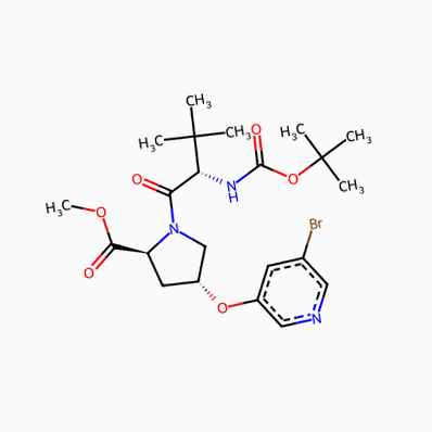 COC(=O)[C@@H]1C[C@@H](Oc2cncc(Br)c2)CN1C(=O)[C@@H](NC(=O)OC(C)(C)C)C(C)(C)C